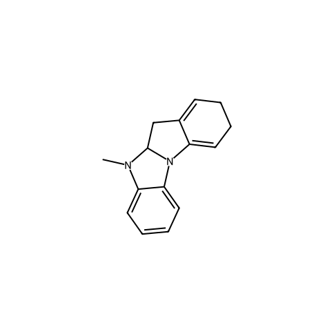 CN1c2ccccc2N2C3=CCCC=C3CC12